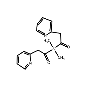 C[Si](C)(C(=O)Cc1ccccn1)C(=O)Cc1ccccn1